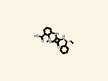 CC[C@@H](Nc1c(Nc2cccc(C(=O)O)c2OC)c(=O)c1=O)c1ccccc1